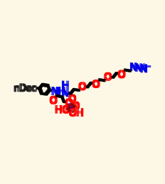 CCCCCCCCCCc1ccc(NC(=O)C(COP(=O)(O)O)NC(=O)CCOCCOCCOCCOCCN=[N+]=[N-])cc1